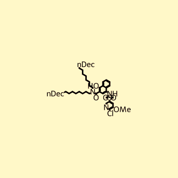 CCCCCCCCCCCCCCCCCCN(CCCCCCCCCCCCCCCCCC)C(=O)c1cc(NS(=O)(=O)c2cnc(Cl)c(OC)c2)c2ccccc2c1O